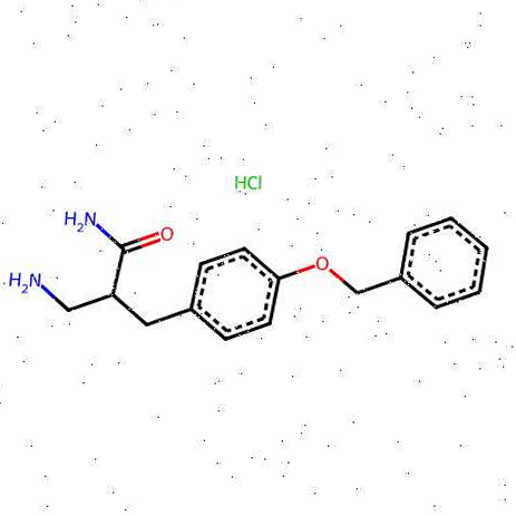 Cl.NCC(Cc1ccc(OCc2ccccc2)cc1)C(N)=O